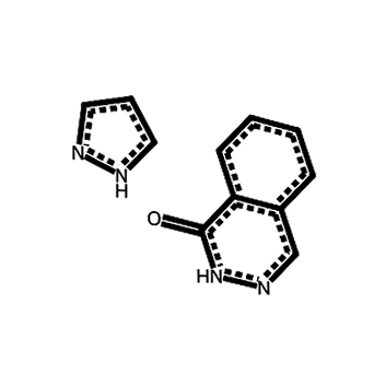 O=c1[nH]ncc2ccccc12.c1cn[nH]c1